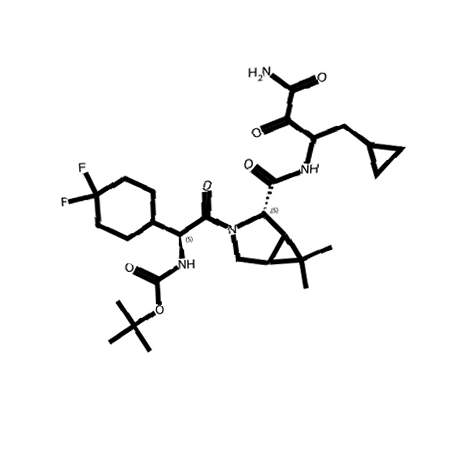 CC(C)(C)OC(=O)N[C@H](C(=O)N1CC2C([C@H]1C(=O)NC(CC1CC1)C(=O)C(N)=O)C2(C)C)C1CCC(F)(F)CC1